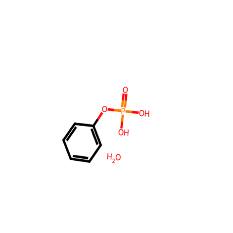 O.O=P(O)(O)Oc1ccccc1